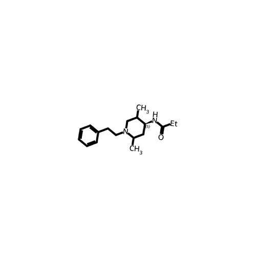 CCC(=O)N[C@H]1CC(C)N(CCc2ccccc2)CC1C